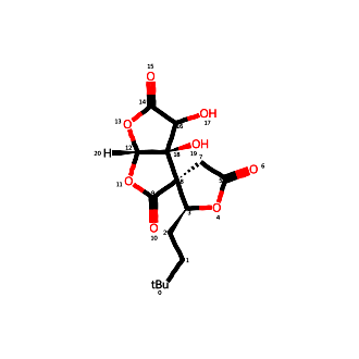 CC(C)(C)CC[C@@H]1OC(=O)C[C@@]12C(=O)O[C@@H]1OC(=O)C(O)[C@@]12O